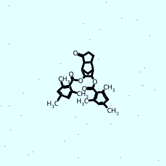 Cc1cc(C)c(C(=O)OC2C3CC(C2OC(=O)c2c(C)cc(C)cc2C)C2C(=O)CCC32)c(C)c1